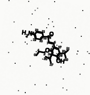 CCCOc1c(/C=C/C(=O)c2ccc(N)cc2)cc(C(C)C)c(O)c1C(C)C